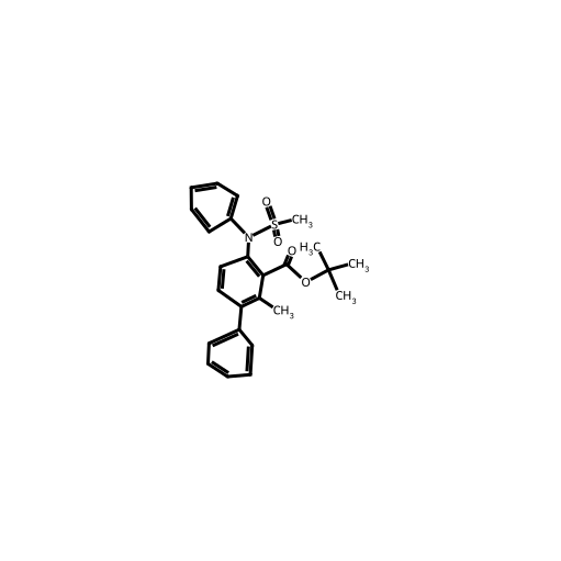 Cc1c(-c2ccccc2)ccc(N(c2ccccc2)S(C)(=O)=O)c1C(=O)OC(C)(C)C